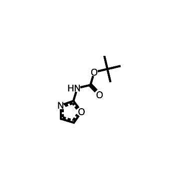 CC(C)(C)OC(=O)Nc1ncco1